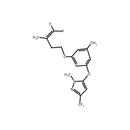 CC(CCOc1cc(C)cc(Oc2cc(C(F)(F)F)nn2C)n1)=C(F)F